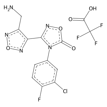 NCc1nonc1-c1noc(=O)n1-c1ccc(F)c(Cl)c1.O=C(O)C(F)(F)F